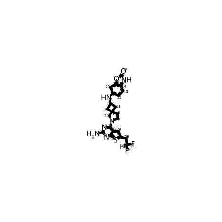 Nc1nc(N2CCC3(CC(Nc4ccc5[nH]c(=O)oc5c4)C3)C2)c2cc(CC(F)(F)F)sc2n1